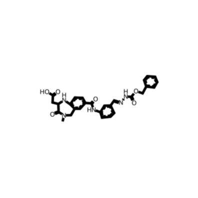 CN1Cc2cc(C(=O)Nc3cccc(C=NNC(=O)OCc4ccccc4)c3)ccc2NC(CC(=O)O)C1=O